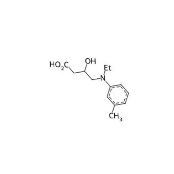 CCN(CC(O)CC(=O)O)c1cccc(C)c1